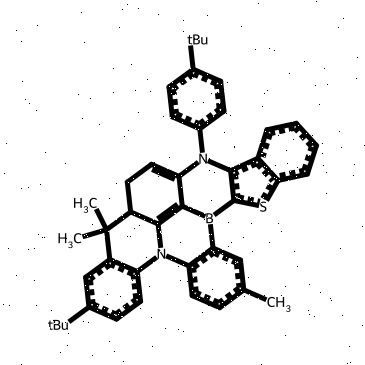 Cc1ccc2c(c1)B1C3=C4C(CC=C3N(c3ccc(C(C)(C)C)cc3)c3c1sc1ccccc31)C(C)(C)c1cc(C(C)(C)C)ccc1N42